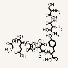 CC(C)C(N)C(=O)O.CC(N)C(=O)O.CC(O)C(N)C(=O)O.NC(CCC(=O)O)C(=O)O.NC(CO)C(=O)O.NC(Cc1ccc(O)cc1)C(=O)O.NCC(=O)O